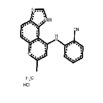 Cc1cc(Nc2ccccc2C#N)c2c(ccc3nc[nH]c32)n1.Cl.O